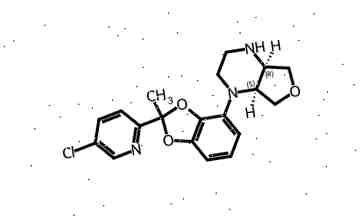 CC1(c2ccc(Cl)cn2)Oc2cccc(N3CCN[C@H]4COC[C@H]43)c2O1